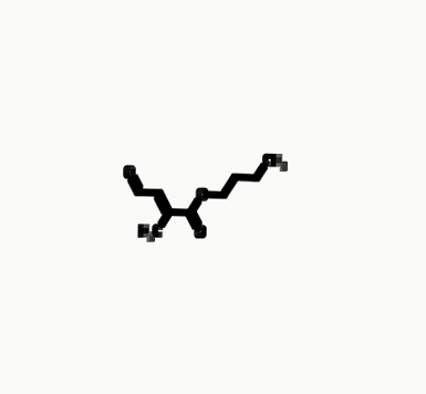 CCCCOC(=O)C(C)=CC=O